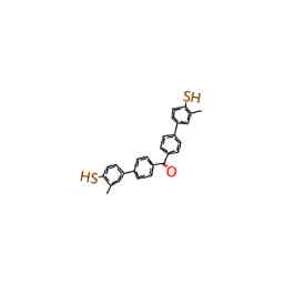 Cc1cc(-c2ccc(C(=O)c3ccc(-c4ccc(S)c(C)c4)cc3)cc2)ccc1S